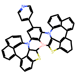 C1=c2sc3c4c2c(c2cccc5cccc(c52)n4-c2cc(-c4ccncc4)cc4c2B3C2Sc3cccc5c3C2N4c2cccc3cccc-5c23)CC1